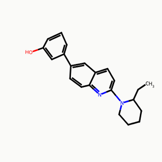 CCC1CCCCN1c1ccc2cc(-c3cccc(O)c3)ccc2n1